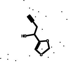 C#CCC(O)C1=COCO1